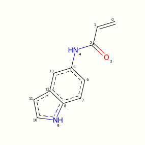 C=CC(=O)Nc1ccc2[nH]ccc2c1